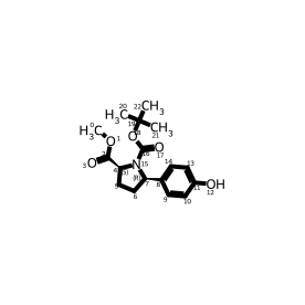 COC(=O)[C@@H]1CC[C@H](c2ccc(O)cc2)N1C(=O)OC(C)(C)C